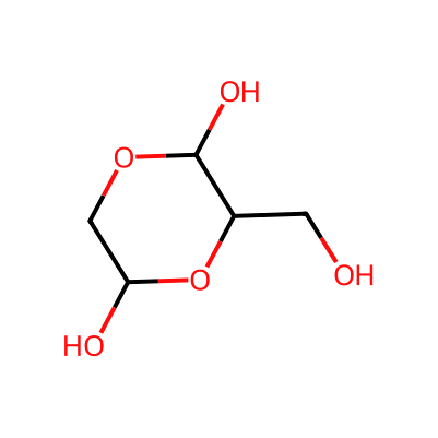 OCC1OC(O)COC1O